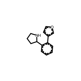 c1ccc(C2CCCN2)c(-c2ccoc2)c1